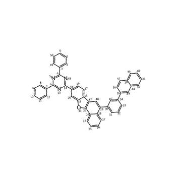 c1ccc(-c2nc(-c3ccccc3)nc(-c3ccc4c(c3)oc3c5ccccc5c(-c5cccc(-c6ccc7ccccc7c6)c5)cc43)n2)cc1